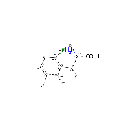 Cc1ccc(F)c(C(C)[C@H](N)C(=O)O)c1C